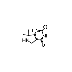 CC1(C)NCc2c1[nH]c(=O)[nH]c2=O